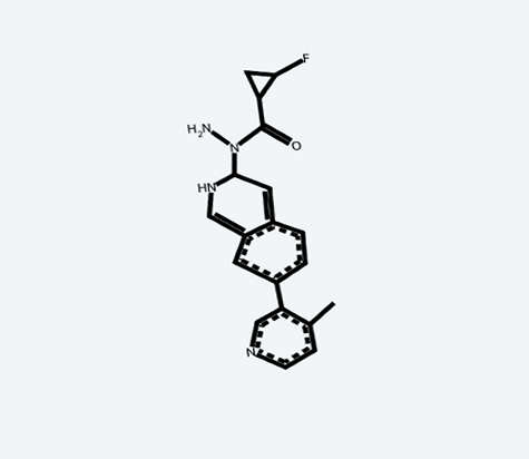 Cc1ccncc1-c1ccc2c(c1)=CNC(N(N)C(=O)C1CC1F)C=2